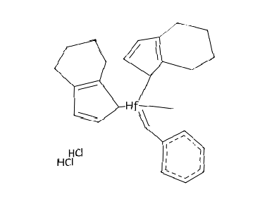 Cl.Cl.[CH3][Hf](=[CH]c1ccccc1)([CH]1C=CC2=C1CCCC2)[CH]1C=CC2=C1CCCC2